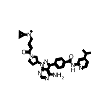 CC(C)c1ccnc(NC(=O)c2ccc(-c3nn(C4CCN(C(=O)C=CCN(C)C5CC5)C4)c4ncnc(N)c34)cc2)c1